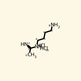 CC(=N)NCCCCN.Cl.Cl